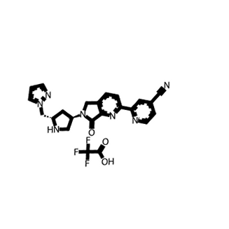 N#Cc1ccnc(-c2ccc3c(n2)C(=O)N([C@H]2CN[C@H](Cn4cccn4)C2)C3)c1.O=C(O)C(F)(F)F